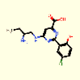 CCC(N)CNc1cc(C(=O)O)nc(-c2cc(Cl)ccc2O)n1